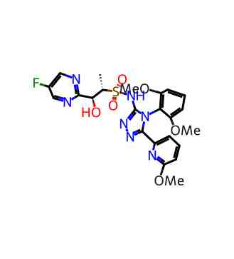 COc1cccc(-c2nnc(NS(=O)(=O)[C@@H](C)[C@@H](O)c3ncc(F)cn3)n2-c2c(OC)cccc2OC)n1